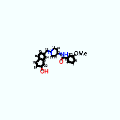 COc1cccc(C(=O)NC2CCN(Cc3ccc4ccc(O)cc4c3)CC2)c1